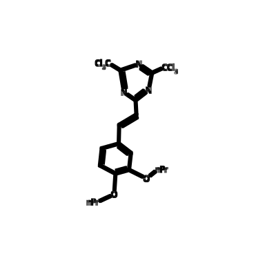 CCCOc1ccc(/C=C/c2nc(C(Cl)(Cl)Cl)nc(C(Cl)(Cl)Cl)n2)cc1OCCC